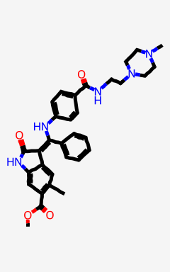 COC(=O)c1cc2c(cc1C)/C(=C(/Nc1ccc(C(=O)NCCN3CCN(C)CC3)cc1)c1ccccc1)C(=O)N2